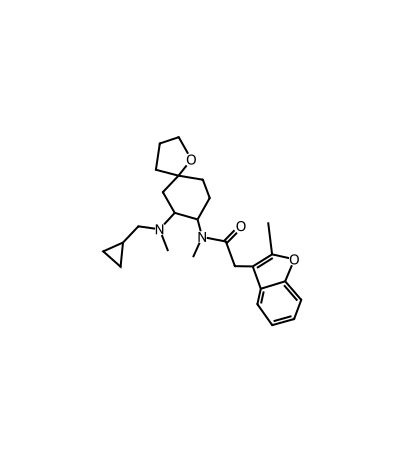 Cc1oc2ccccc2c1CC(=O)N(C)C1CCC2(CCCO2)CC1N(C)CC1CC1